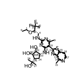 CCO[C@@H](CNc1nc(C)c(-c2nc3c(C)nccc3s2)c(N[C@@H]2C[C@H](C(C)(C)O)[C@@H](O)[C@H]2O)n1)C(F)(F)F